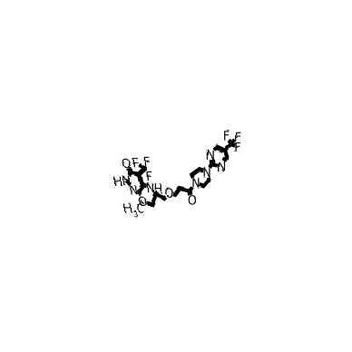 COCC(COCCC(=O)N1CCN(c2ncc(C(F)(F)F)cn2)CC1)Nc1cn[nH]c(=O)c1C(F)(F)F